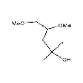 COCC(CC(C)(C)O)OC